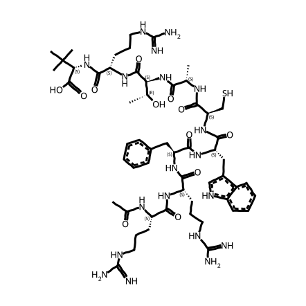 CC(=O)N[C@@H](CCCNC(=N)N)C(=O)N[C@@H](CCCNC(=N)N)C(=O)N[C@@H](Cc1ccccc1)C(=O)N[C@@H](Cc1c[nH]c2ccccc12)C(=O)N[C@H](CS)C(=O)N[C@@H](C)C(=O)N[C@H](C(=O)N[C@@H](CCCNC(=N)N)C(=O)N[C@H](C(=O)O)C(C)(C)C)[C@@H](C)O